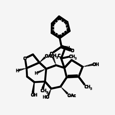 CC(=O)O[C@H]1C2=C(C)[C@@H](O)CC2(C(C)(C)O)[C@@H](OC(=O)c2ccccc2)[C@@H]2[C@]3(OC(C)=O)CO[C@@H]3C[C@H](O)[C@@]2(C)[C@H]1O